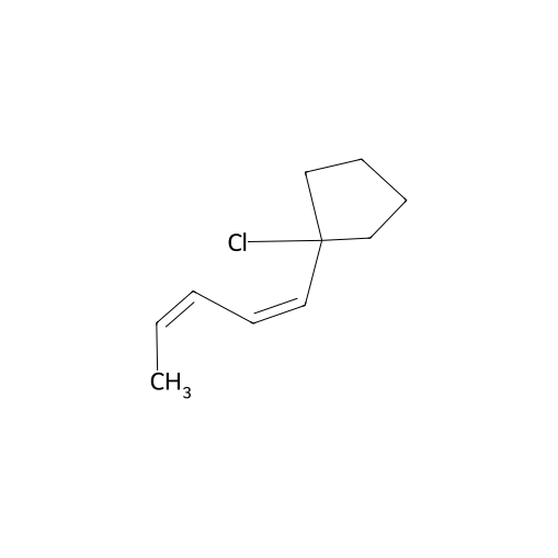 C/C=C\C=C/C1(Cl)CCCC1